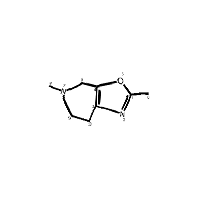 Cc1nc2c(o1)CN(C)CC2